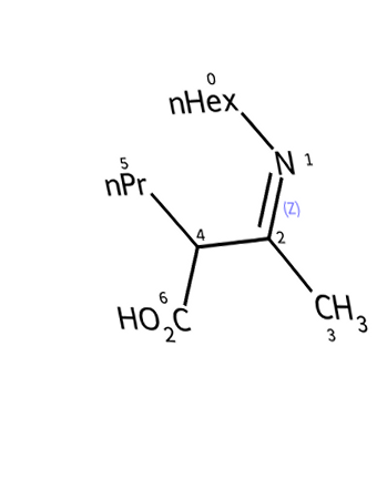 CCCCCC/N=C(/C)C(CCC)C(=O)O